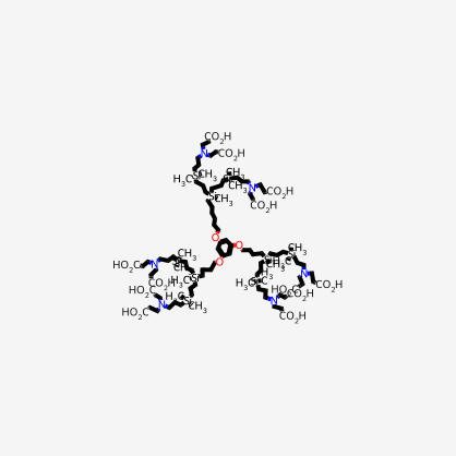 C[Si](C)(CCCN(CCC(=O)O)CCC(=O)O)CCC[Si](C)(CCCCCCOc1cc(OCCCC[Si](C)(CCC[Si](C)(C)CCCN(CCC(=O)O)CCC(=O)O)CCC[Si](C)(C)CCCN(CCC(=O)O)CCC(=O)O)cc(OCCCC[Si](C)(CCC[Si](C)(C)CCCN(CCC(=O)O)CCC(=O)O)CCC[Si](C)(C)CCCN(CCC(=O)O)CCC(=O)O)c1)CCC[Si](C)(C)CCCN(CCC(=O)O)CCC(=O)O